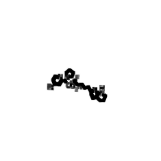 CCc1ccnc(C(C(=O)O)N2CCC[C@@H]2C(F)(F)CCCCc2ccc3c(n2)NCCC3)c1